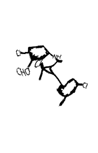 C=C(Nc1ccc(Cl)c(C=O)c1)C1C(c2cc(C)cc(Cl)c2)C1(C)Cl